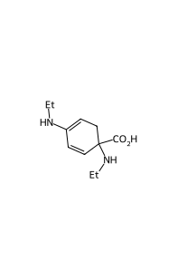 CCNC1=CCC(NCC)(C(=O)O)C=C1